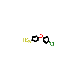 SSc1ccc(Oc2ccc(Cl)cc2)cc1